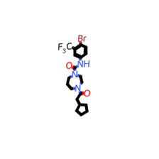 O=C(CC1CCCC1)N1CCCN(C(=O)Nc2ccc(Br)c(C(F)(F)F)c2)CC1